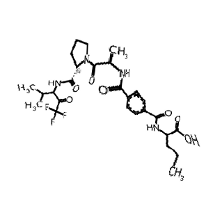 CCCC(NC(=O)c1ccc(C(=O)NC(C)C(=O)N2CCC[C@H]2C(=O)NC(C(=O)C(F)(F)F)C(C)C)cc1)C(=O)O